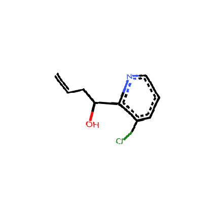 C=CCC(O)c1ncccc1Cl